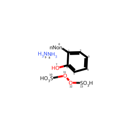 CCCCCCCCCc1ccccc1O.N.N.O=S(=O)(O)OOS(=O)(=O)O